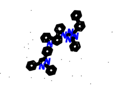 C1=Cc2c(c3c4c5ccccc5n(-c5ccc(-c6cc(-c7ccccc7)nc(-c7ccccc7)n6)cc5)c4ccc3n2-c2nc(-c3ccccc3)nc(-c3cccc(-c4ccccc4)c3)n2)CC1